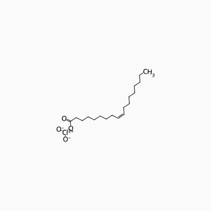 CCCCCCCC/C=C\CCCCCCCC(=O)O[Cl+2]([O-])[O-]